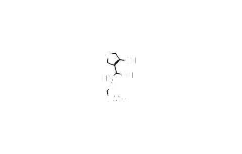 COCONC(O)C1=C(C)COC1